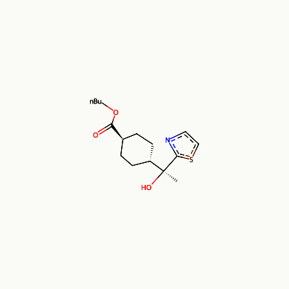 CCCCOC(=O)[C@H]1CC[C@H]([C@](C)(O)c2nccs2)CC1